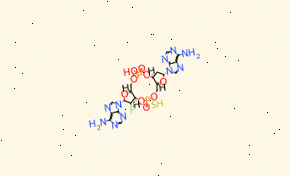 Nc1ncnc2c1ncn2[C@@H]1O[C@@H]2COP(=O)(O)O[C@H]3C[C@H](n4cnc5c(N)ncnc54)O[C@@H]3CO[P@](=O)(S)O[C@H]2[C@H]1F